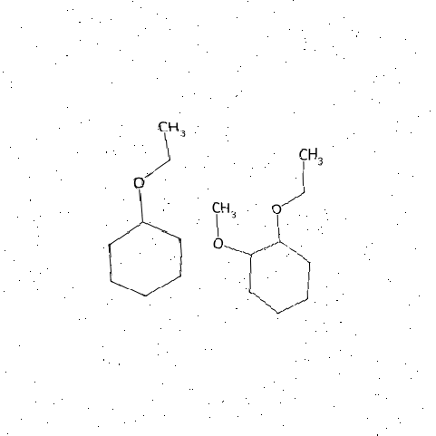 CCOC1CCCCC1.CCOC1CCCCC1OC